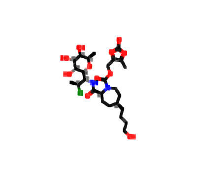 Cc1oc(=O)oc1COC(=O)N1CC[C@@H](CCCCO)CC[C@H]1C(=O)N[C@@H]([C@H]1O[C@H](C)[C@H](O)[C@@H](O)[C@H]1O)[C@H](C)Cl